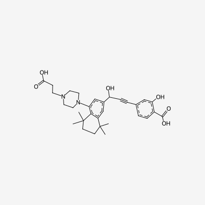 CC1(C)CCC(C)(C)c2c(N3CCN(CCC(=O)O)CC3)cc(C(O)C#Cc3ccc(C(=O)O)c(O)c3)cc21